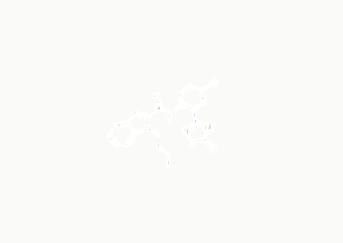 CCCCn1c(C(=O)Nc2ccc(Br)cc2-c2noc(=O)[nH]2)cc2ccccc21